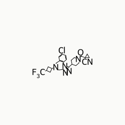 N#CC1(C(=O)N2CCC(c3nnc4n3-c3ccc(Cl)cc3CN(C3CC(C(F)(F)F)C3)C4)CC2)CC1